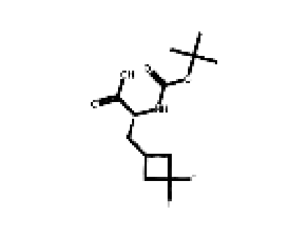 CC(C)(C)OC(=O)N[C@@H](CC1CC(F)(F)C1)C(=O)O